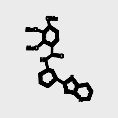 COc1ccc(C(=O)Nc2cccc(-c3nc4ncccc4s3)c2)c(OC)c1OC